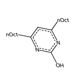 CCCCCCCCc1cc(CCCCCCCC)nc(O)n1